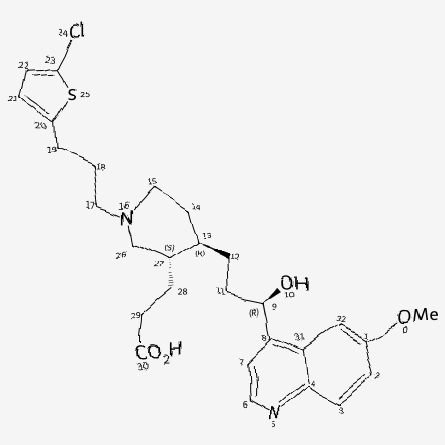 COc1ccc2nccc([C@H](O)CC[C@@H]3CCN(CCCc4ccc(Cl)s4)C[C@H]3CCC(=O)O)c2c1